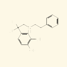 CCC(O)(CNCCc1ccccc1)c1ccc(O)c(O)c1